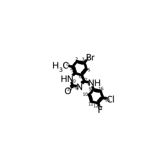 Cc1cc(Br)cc2c(Nc3ccc(F)c(Cl)c3)nc(=O)[nH]c12